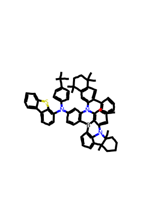 Cc1cc2c3c(c1)N1c4c(cccc4C4(C)CCCCC14C)B3c1ccc(N(c3ccc(C(C)(C)C)cc3)c3cccc4c3sc3ccccc34)cc1N2c1cc2c(cc1-c1ccccc1)C(C)(C)CCC2(C)C